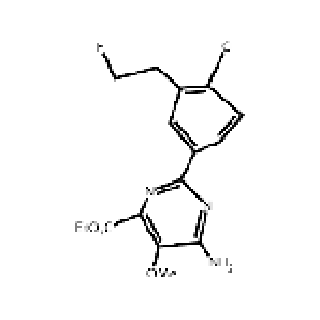 CCOC(=O)c1nc(-c2ccc(Cl)c(CCF)c2)nc(N)c1OC